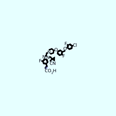 N#CCC1(Cn2c(CN3CCC(Oc4ccc(F)c(COc5ccc(Cl)cc5F)c4)CC3)nc3c(F)cc(/C=C/C(=O)O)cc32)CC1